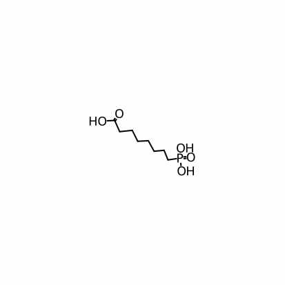 O=C(O)CCCCCCCP(=O)(O)O